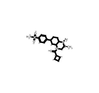 CC(=O)N1C2CCC(c3ccc(S(N)(=O)=O)cc3)CC2N(C(=O)C2CCC2)C[C@@H]1C